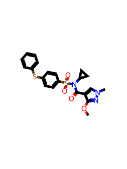 COc1nn(C)cc1C(=O)N(C1CC1)S(=O)(=O)c1ccc(Sc2ccccc2)cc1